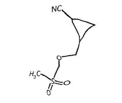 CS(=O)(=O)OCC1CC1C#N